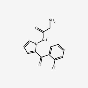 NCC(=O)Nn1cccc1C(=O)c1ccccc1Cl